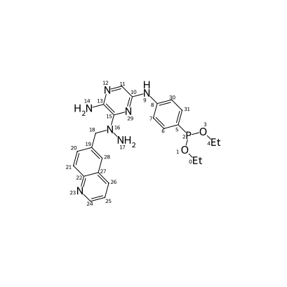 CCOP(OCC)c1ccc(Nc2cnc(N)c(N(N)Cc3ccc4ncccc4c3)n2)cc1